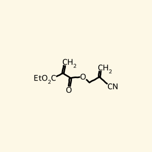 C=C(C#N)COC(=O)C(=C)C(=O)OCC